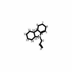 C=CCN1C2=CCCCC2C2CCCCC21